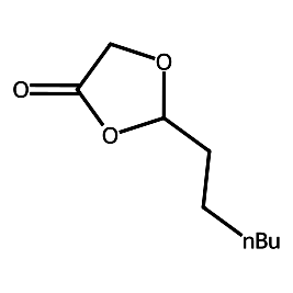 CCCCCCC1OCC(=O)O1